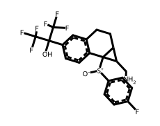 NCC1C2CCc3cc(C(O)(C(F)(F)F)C(F)(F)F)ccc3C12[S+]([O-])c1ccc(F)cc1